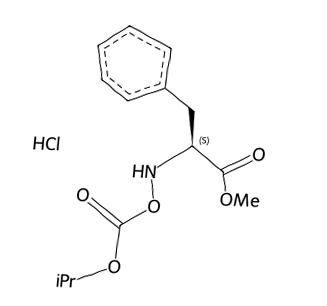 COC(=O)[C@H](Cc1ccccc1)NOC(=O)OC(C)C.Cl